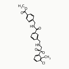 COC(=O)c1ccc(CNC(=O)c2cccc(CNCS(=O)(=O)c3cccc(Cl)c3C)c2)cc1